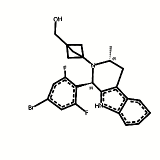 C[C@@H]1Cc2c([nH]c3ccccc23)[C@@H](c2c(F)cc(Br)cc2F)N1C12CC(CO)(C1)C2